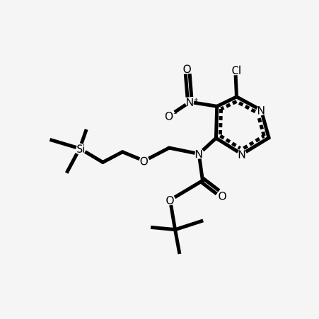 CC(C)(C)OC(=O)N(COCC[Si](C)(C)C)c1ncnc(Cl)c1[N+](=O)[O-]